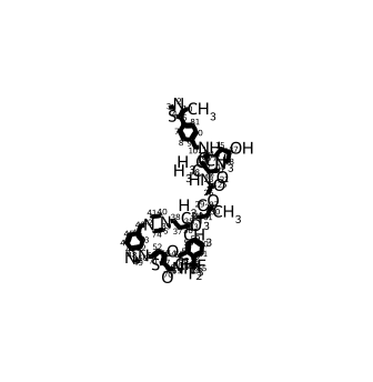 Cc1ncsc1-c1ccc(CNC(=O)[C@@H]2C[C@@H](O)CN2C(=O)[C@@H](NC(=O)COC(C)(C)CCOC(C)(C)CCN2CCN(Cc3ccc4ncn(-c5cc(O[C@H](C)c6ccccc6C(F)(F)F)c(C(N)=O)s5)c4c3)CC2)C(C)(C)C)cc1